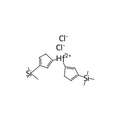 [CH2]=[Hf+2]([C]1=CC([Si](C)(C)C)=CC1)[C]1=CC([Si](C)(C)C)=CC1.[Cl-].[Cl-]